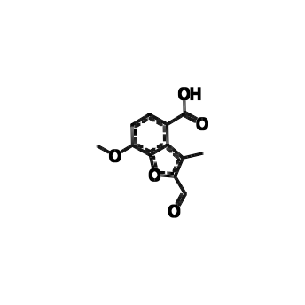 COc1ccc(C(=O)O)c2c(C)c(C=O)oc12